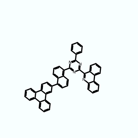 c1ccc(-c2nc(-c3cccc4c(-c5ccc6c7ccccc7c7ccccc7c6c5)cccc34)nc(-c3nc4ccccc4c4ccccc34)n2)cc1